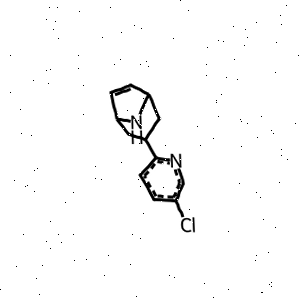 Clc1ccc(C2CC3C=CC(C2)N3)nc1